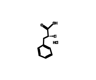 Cl.O=C(O)[C@H](Cl)Cc1ccccc1